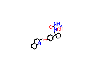 NC(=O)N(O)CC1(c2ccc(OCc3ccc4ccccc4n3)cc2)CCCC1